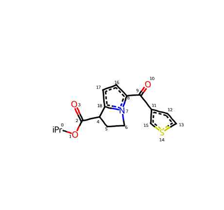 CC(C)OC(=O)C1CCn2c(C(=O)c3ccsc3)ccc21